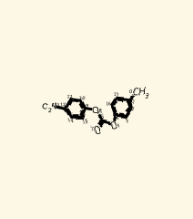 Cc1ccc(OC(=O)Oc2ccc([N+](=O)[O-])cc2)cc1